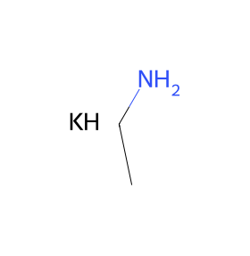 CCN.[KH]